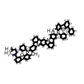 C=C/C=C\C(=C/C)c1cccc2c1oc1c(N(c3ccccc3)c3ccc4c(c3)c3cccc5c6cc7c(cc6n4c35)c3cccc4c5cc(N(c6ccccc6)c6c(C)ccc8c6oc6c(-c9ccccc9)cccc68)ccc5n7c43)c(C)ccc12